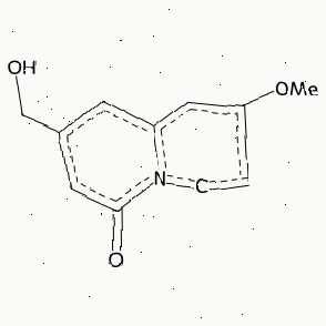 COc1ccn2c(=O)cc(CO)cc2c1